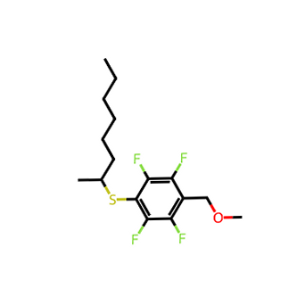 CCCCCCC(C)Sc1c(F)c(F)c(COC)c(F)c1F